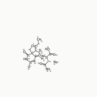 CCCC(C)C1(CC)C(=O)N=C([O-])NC1=O.NC(=O)CC(N)C(=O)O.[Na+]